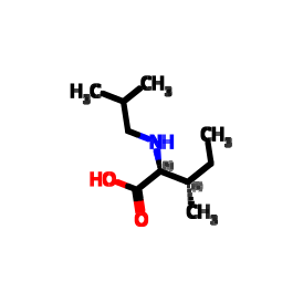 CC[C@H](C)[C@H](NCC(C)C)C(=O)O